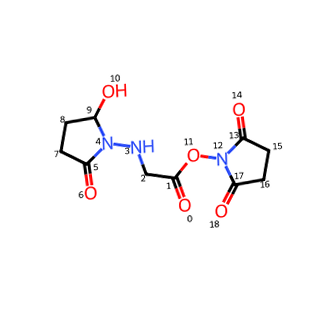 O=C(CNN1C(=O)CCC1O)ON1C(=O)CCC1=O